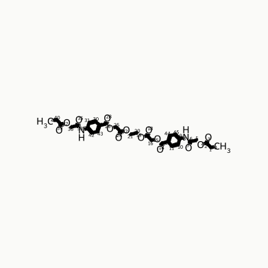 CCC(=O)OCC(=O)Nc1ccc(C(=O)OCC(=O)OCCOC(=O)COC(=O)c2ccc(NC(=O)COC(=O)CC)cc2)cc1